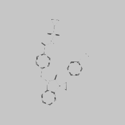 N#Cc1ccc([C@@H]2C[C@@]23C(=O)N(Cc2ccc(C(=O)NS(=O)(=O)C4CC4)cc2)c2ccccc23)cc1